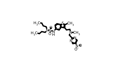 CCCCN(CCCC)S(=O)(=O)Nc1ccc2sc(C)c(CCN(C)Cc3ncc([N+](=O)[O-])cn3)c2c1